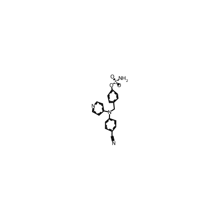 N#Cc1ccc(N(Cc2ccc(OS(N)(=O)=O)cc2)c2ccncc2)cc1